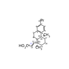 CC(C)c1ccc2c(c1)CCC1[C@](C)(/C=C/C(=O)O)CCC[C@]21C